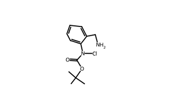 CC(C)(C)OC(=O)N(Cl)c1ccccc1CN